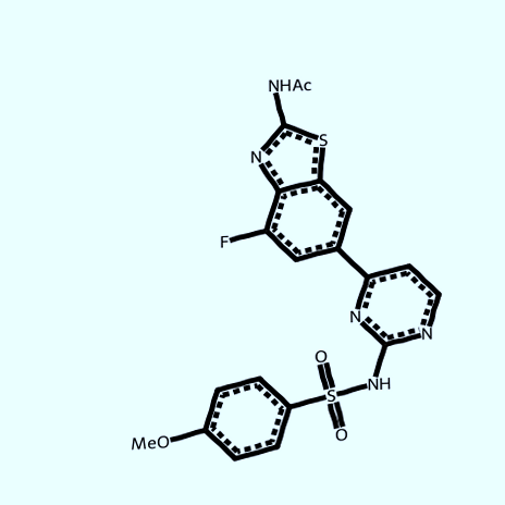 COc1ccc(S(=O)(=O)Nc2nccc(-c3cc(F)c4nc(NC(C)=O)sc4c3)n2)cc1